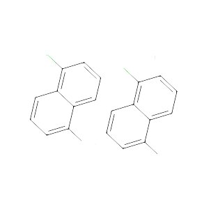 O=C([O-])c1cccc2c(Cl)cccc12.O=C([O-])c1cccc2c(Cl)cccc12.[Zn+2]